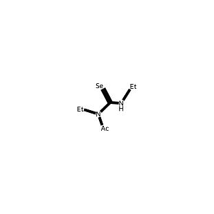 CCNC(=[Se])N(CC)C(C)=O